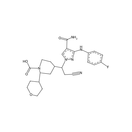 N#CCC(C1CCN(C(=O)O)C(C2CCOCC2)C1)n1cc(C(N)=O)c(Nc2ccc(F)cc2)n1